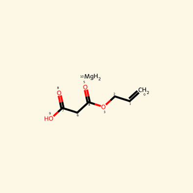 C=CCOC(=O)CC(=O)O.[MgH2]